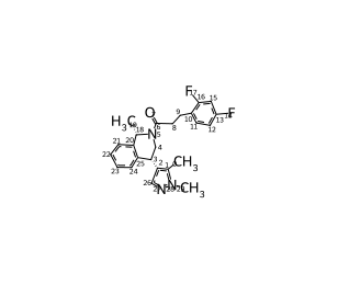 Cc1c([C@H]2CN(C(=O)CCc3ccc(F)cc3F)[C@@H](C)c3ccccc32)cnn1C